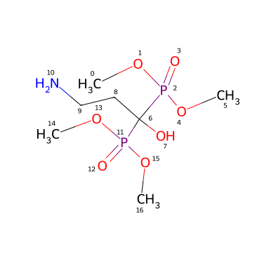 COP(=O)(OC)C(O)(CCN)P(=O)(OC)OC